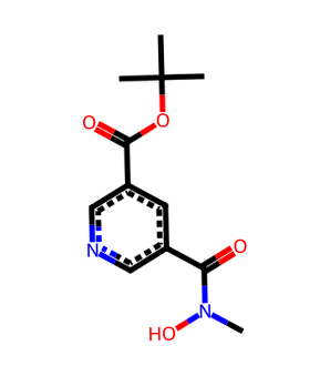 CN(O)C(=O)c1cncc(C(=O)OC(C)(C)C)c1